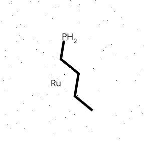 CCCCP.[Ru]